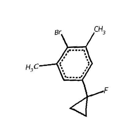 Cc1cc(C2(F)CC2)cc(C)c1Br